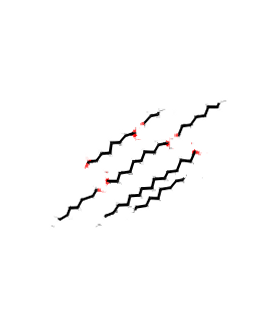 CCCCCCCCCC.CCCCCCCCCCCCCCCC(=O)O.CCCCCCCCOC(=O)CCCCCCCCC(=O)OCCCCCCCC.CCCCOC(=O)CCCCCCC(=O)O